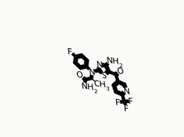 C[C@H](C(N)=O)N(c1ccc(F)cc1)c1nc(N)c(C(=O)c2ccc(C(F)(F)F)nc2)s1